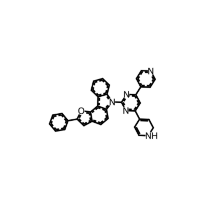 C1=CC(c2cc(-c3ccncc3)nc(-n3c4ccccc4c4c5oc(-c6ccccc6)cc5ccc43)n2)=CCN1